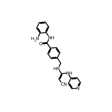 N#CC=C(NCc1ccc(C(=O)Nc2ccccc2N)cc1)Nc1ccncc1